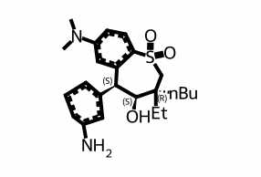 CCCC[C@@]1(CC)CS(=O)(=O)c2ccc(N(C)C)cc2[C@H](c2cccc(N)c2)[C@@H]1O